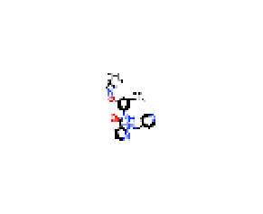 CC1CN(Oc2cc(NC(=O)c3cccnc3NCc3ccncc3)cc(C(F)(F)F)c2)C1